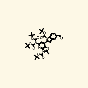 Cc1nc2c(-c3cc4cc(C=O)ccc4n3C(=O)OC(C)(C)C)cc(N(C(=O)OC(C)(C)C)C(=O)OC(C)(C)C)nc2n1C(=O)OC(C)(C)C